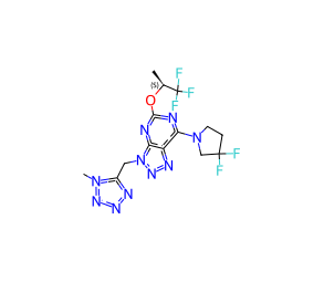 C[C@H](Oc1nc(N2CCC(F)(F)C2)c2nnn(Cc3nnnn3C)c2n1)C(F)(F)F